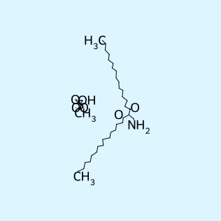 CCCCCCCCCCCCCCCC(=O)C(CN)C(=O)CCCCCCCCCCCCCCC.COS(=O)(=O)O